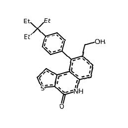 CCC(CC)(CC)c1ccc(-c2c(CO)ccc3[nH]c(=O)c4sccc4c23)cc1